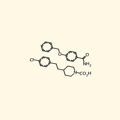 NC(=O)c1ccc(OCc2ccccc2)cc1.O=C(O)N1CCC(CCc2ccc(Cl)cc2)CC1